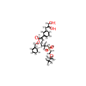 CC(C)(CCC[C@@](C)(C(=O)OCc1ccccc1)c1cccc(C[C@H](O)CO)c1)CS(=O)(=O)CCO[Si](C)(C)C(C)(C)C